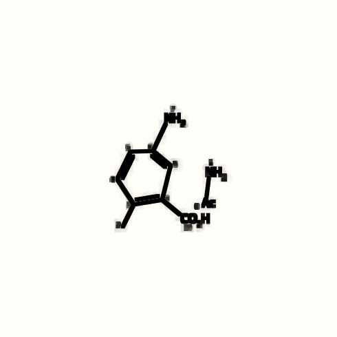 CC(N)=O.Cc1ccc(N)cc1C(=O)O